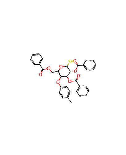 Cc1ccc(O[C@@H]2[C@H](OC(=O)c3ccccc3)[C@@H](OC(=O)c3ccccc3)[C@H](S)O[C@@H]2COC(=O)c2ccccc2)cc1